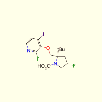 CC(C)(C)[C@]1(COc2c(I)ccnc2F)C[C@H](F)CN1C(=O)O